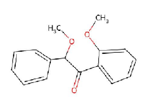 COc1ccccc1C(=O)C(OC)c1ccccc1